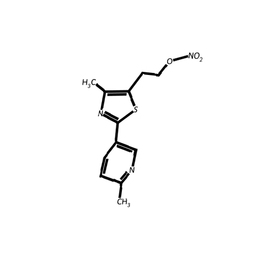 Cc1ccc(-c2nc(C)c(CCO[N+](=O)[O-])s2)cn1